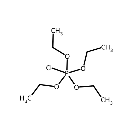 CCOP(Cl)(OCC)(OCC)OCC